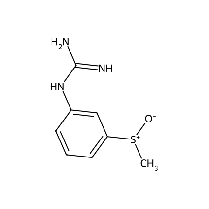 C[S+]([O-])c1cccc(NC(=N)N)c1